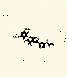 C=CC(=O)Nc1cncc(-c2cc3c(cn2)CN(c2c(F)c(OC)cc(OC)c2F)C(=O)C32CC2)c1